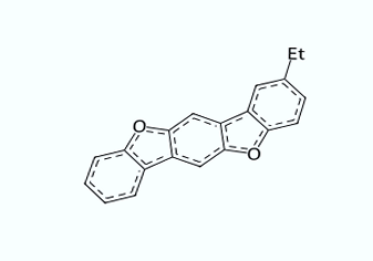 CCc1ccc2oc3cc4c(cc3c2c1)oc1ccccc14